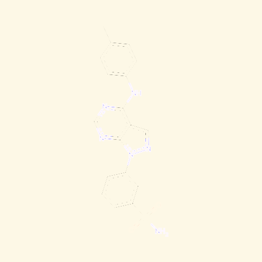 Cc1ccc(Nc2ncnc3c2cnn3-c2cccc(S(N)(=O)=O)c2)cc1